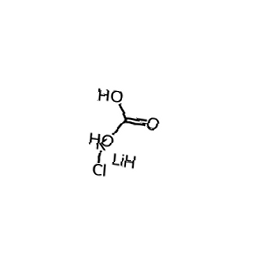 O=C(O)O.[Cl][K].[LiH]